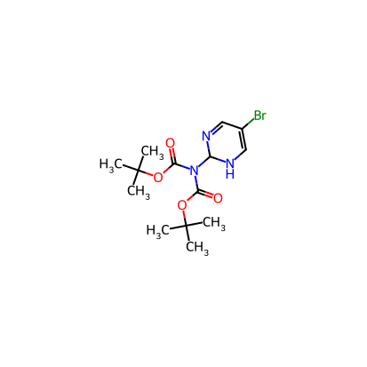 CC(C)(C)OC(=O)N(C(=O)OC(C)(C)C)C1N=CC(Br)=CN1